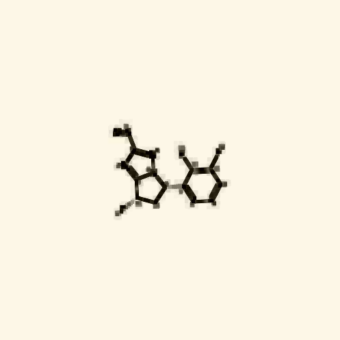 CSc1nc2n(n1)[C@H](c1cccc(F)c1F)C[C@@H]2F